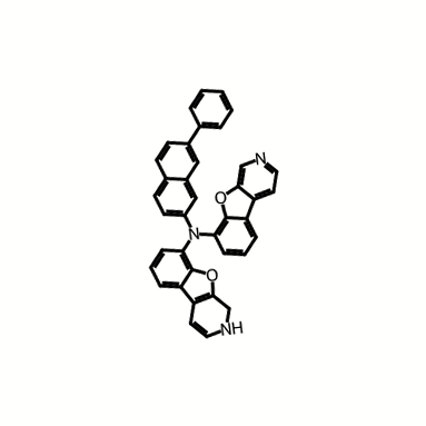 C1=Cc2c(oc3c(N(c4ccc5ccc(-c6ccccc6)cc5c4)c4cccc5c4oc4cnccc45)cccc23)CN1